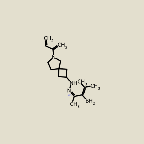 BC(=C(C)C)/C(C)=N\NC1CC2(CCN(C(=C)C=C)C2)C1